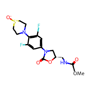 COC(=O)NC[C@H]1CN(c2cc(F)c(N3CC[S+]([O-])CC3)c(F)c2)C(=O)O1